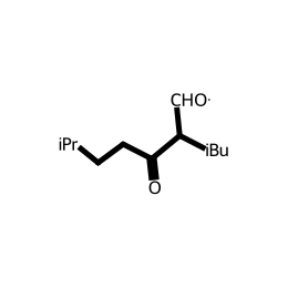 CCC(C)C([C]=O)C(=O)CCC(C)C